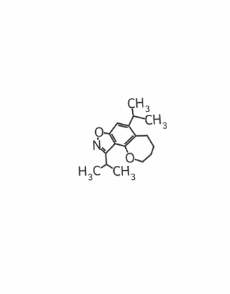 CC(C)c1cc2onc(C(C)C)c2c2c1CCCCO2